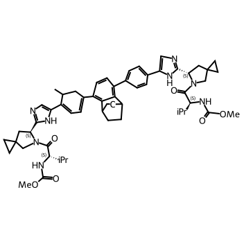 COC(=O)N[C@H](C(=O)N1CC2(CC2)C[C@H]1c1ncc(C2=CC=C(c3ccc(-c4ccc(-c5cnc([C@@H]6CC7(CC7)CN6C(=O)[C@@H](NC(=O)OC)C(C)C)[nH]5)cc4)c4c3C3CCC4CC3)CC2C)[nH]1)C(C)C